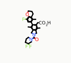 Cc1c(-c2c(C)c3c(c(C)c2CC(=O)O)CN(C(=O)N2CCCC(F)(F)C2)C3)cc(F)c2c1CCCO2